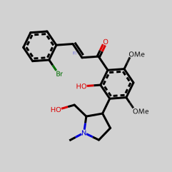 COc1cc(OC)c(C2CCN(C)C2CO)c(O)c1C(=O)/C=C/c1ccccc1Br